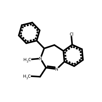 CCC1=Nc2cccc(Cl)c2CC(c2ccccc2)N1C